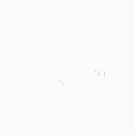 CN(CC=CC#CC(C)(C)C)Cc1cccc(NC(=O)c2ccccc2)c1